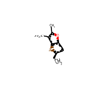 Cc1cc2oc(C)c(C)c2s1